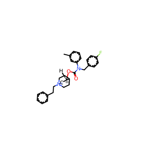 Cc1cccc(N(Cc2ccc(F)cc2)C(=O)O[C@H]2C[N+]3(CCc4ccccc4)CCC2CC3)c1